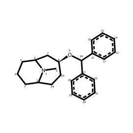 CN1C2CCCC1C[C@@H](OC(c1ccccc1)c1ccccc1)CC2